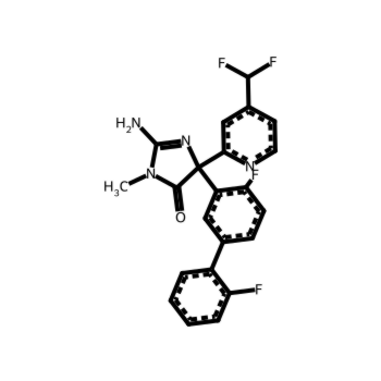 CN1C(=O)C(c2cc(C(F)F)ccn2)(c2cc(-c3ccccc3F)ccc2F)N=C1N